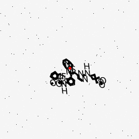 COc1cccc(C)c1S(=O)(=O)Nc1cccc(-c2nc(N3C4CCC3CN(C)C4)sc2-c2ccnc(NC3CC4(C3)CS(=O)(=O)C4)n2)c1F